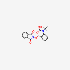 CC(C)(C)N(C(=O)O)c1ccccc1CON1C(=O)c2ccccc2C1=O